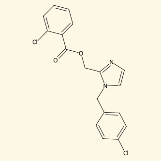 O=C(OCc1nccn1Cc1ccc(Cl)cc1)c1ccccc1Cl